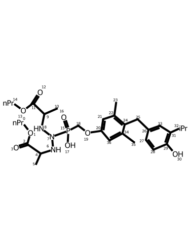 CCCOC(=O)C(C)NN(NC(C)C(=O)OCCC)P(=O)(O)COc1cc(C)c(Cc2ccc(O)c(C(C)C)c2)c(C)c1